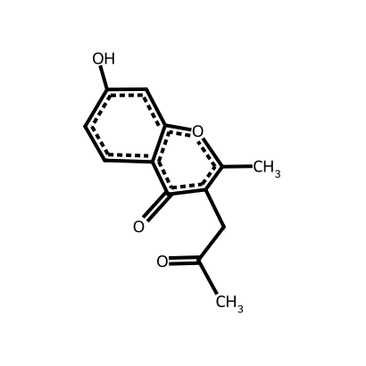 CC(=O)Cc1c(C)oc2cc(O)ccc2c1=O